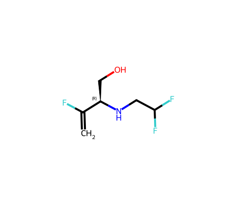 C=C(F)[C@@H](CO)NCC(F)F